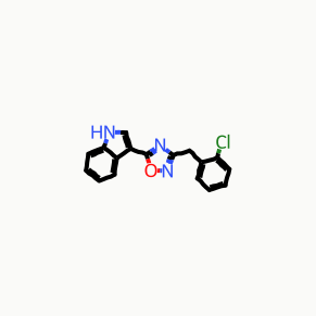 Clc1ccccc1Cc1noc(-c2c[nH]c3ccccc23)n1